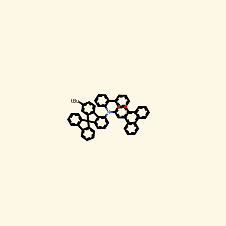 CC(C)(C)c1ccc2c(c1)C1(c3ccccc3-c3ccccc31)c1cccc(N(c3ccc4c5ccccc5c5ccccc5c4c3)c3ccccc3-c3ccccc3)c1-2